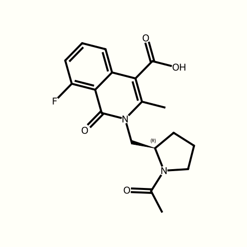 CC(=O)N1CCC[C@@H]1Cn1c(C)c(C(=O)O)c2cccc(F)c2c1=O